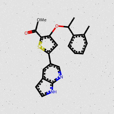 COC(=O)c1sc(-c2cnc3[nH]ccc3c2)cc1OC(C)c1ccccc1C